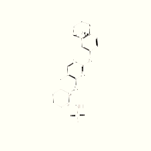 CS(=O)(=O)N[C@@H]1CCCC[C@H]1Nc1nc(Nc2ccc3c(c2)C2CCC3CNC2)ncc1Cl